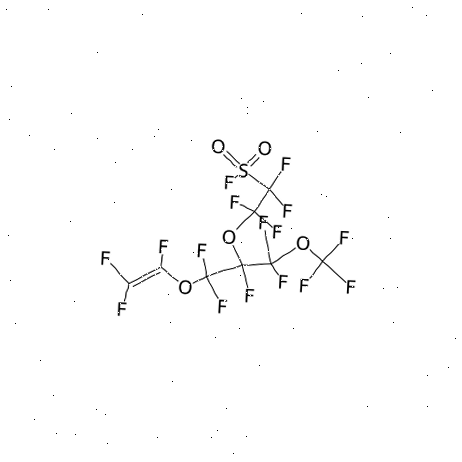 O=S(=O)(F)C(F)(F)C(F)(F)OC(F)(C(F)(F)OC(F)=C(F)F)C(F)(F)OC(F)(F)F